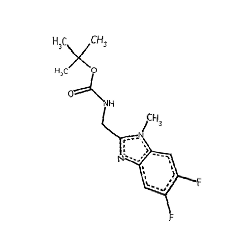 Cn1c(CNC(=O)OC(C)(C)C)nc2cc(F)c(F)cc21